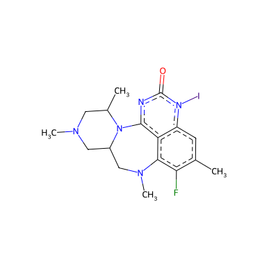 Cc1cc2c3c(nc(=O)n2I)N2C(C)CN(C)CC2CN(C)c3c1F